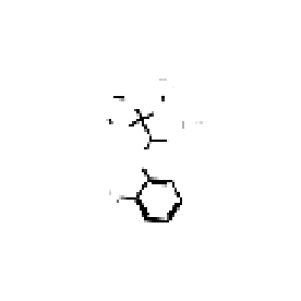 CCCCOC(Oc1ccccc1N)C(OCC)(OCC)OCC